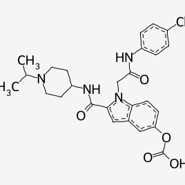 CC(C)N1CCC(NC(=O)c2cc3cc(OC(=O)O)ccc3n2CC(=O)Nc2ccc(Cl)cc2)CC1